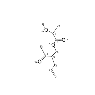 C=CCC(COC(=O)C(C)OC)C(C)=O